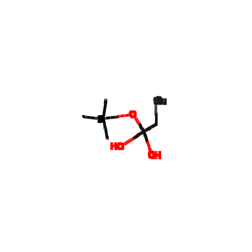 CC(C)(C)CC(O)(O)O[Si](C)(C)C